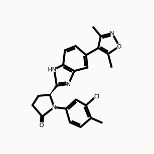 Cc1ccc(N2C(=O)CC[C@H]2c2nc3cc(-c4c(C)noc4C)ccc3[nH]2)cc1Cl